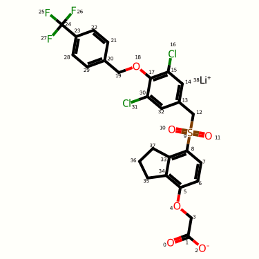 O=C([O-])COc1ccc(S(=O)(=O)Cc2cc(Cl)c(OCc3ccc(C(F)(F)F)cc3)c(Cl)c2)c2c1CCC2.[Li+]